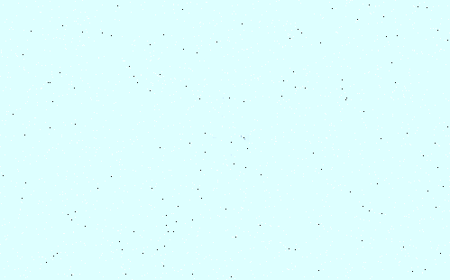 COC1(N)CCCCC1=C=O